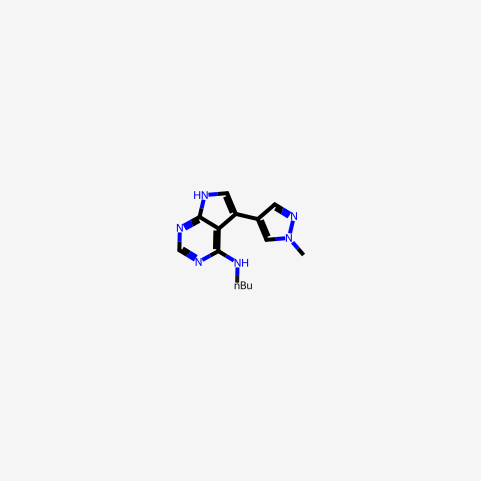 CCCCNc1ncnc2[nH]cc(-c3cnn(C)c3)c12